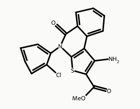 COC(=O)c1sc2c(c1N)c1ccccc1c(=O)n2-c1ccccc1Cl